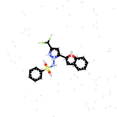 O=S(=O)(Nn1nc(C(F)F)cc1-c1cc2ccccc2o1)c1ccccc1